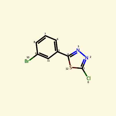 Clc1nnc(-c2cccc(Br)c2)s1